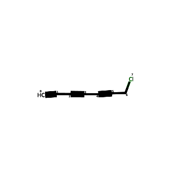 C#CC#CC#CCCl